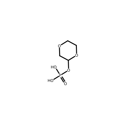 O=P(O)(O)OC1COCCO1